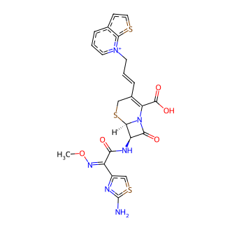 CO/N=C(\C(=O)N[C@@H]1C(=O)N2C(C(=O)O)=C(/C=C/C[n+]3cccc4ccsc43)CS[C@H]12)c1csc(N)n1